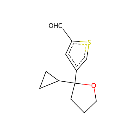 O=Cc1cc(C2(C3CC3)CCCO2)cs1